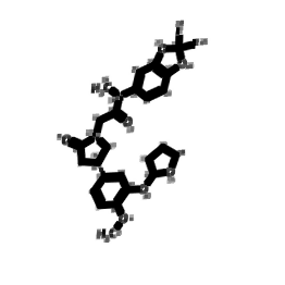 COc1ccc([C@@H]2CC(=O)N(CC(=O)N(C)c3ccc4c(c3)OC(F)(F)O4)C2)cc1OC1CCCO1